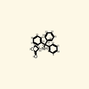 O=C1OC[C@@H]1NC(c1ccccc1)(c1ccccc1)c1ccccc1